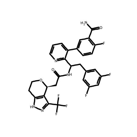 NC(=O)c1cc(-c2cccnc2C(Cc2cc(F)cc(F)c2)NC(=O)C[C@@H]2OCCc3[nH]nc(C(F)(F)F)c32)ccc1F